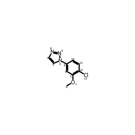 COc1cc(-n2ccnn2)ccc1Cl